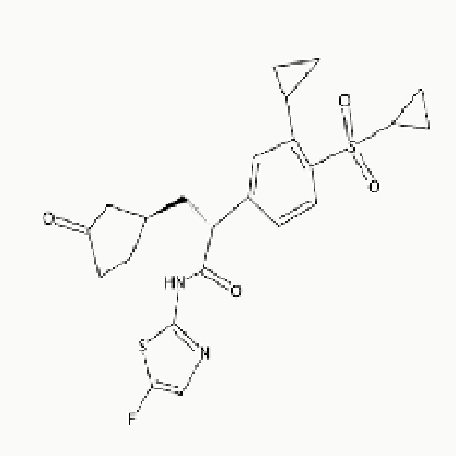 O=C1CC[C@H](C[C@@H](C(=O)Nc2ncc(F)s2)c2ccc(S(=O)(=O)C3CC3)c(C3CC3)c2)C1